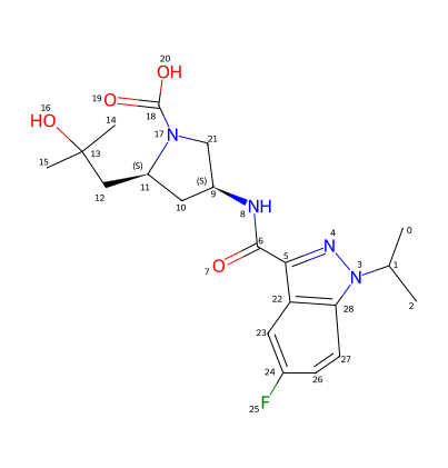 CC(C)n1nc(C(=O)N[C@H]2C[C@@H](CC(C)(C)O)N(C(=O)O)C2)c2cc(F)ccc21